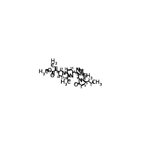 CCCc1ccc(=O)n(Cc2c(-c3ccc(N4CCC(C(CC)C(=O)OC)C4)c(CC)n3)nnn2C)c1